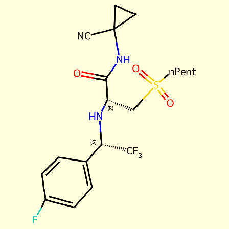 CCCCCS(=O)(=O)C[C@H](N[C@@H](c1ccc(F)cc1)C(F)(F)F)C(=O)NC1(C#N)CC1